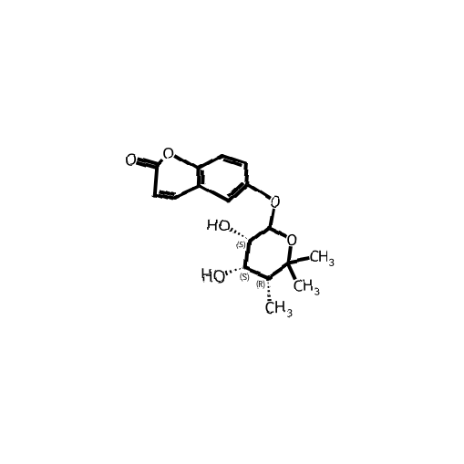 C[C@@H]1[C@H](O)[C@H](O)C(Oc2ccc3oc(=O)ccc3c2)OC1(C)C